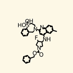 Cc1ccc2nc(N3CCS(O)(O)c4ccccc4C3)cc(NC3CN(C(=O)OCc4ccccc4)CC3F)c2c1